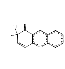 CC1(C)C=Cc2nc3ccccc3cc2C1=O